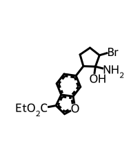 CCOC(=O)c1coc2cc(C3CCC(Br)C3(N)O)ccc12